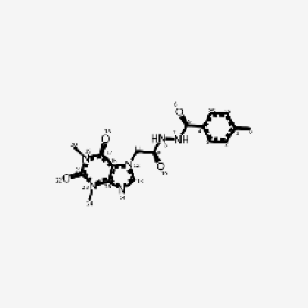 Cc1ccc(C(=O)NNC(=O)Cn2cnc3c2c(=O)n(C)c(=O)n3C)cc1